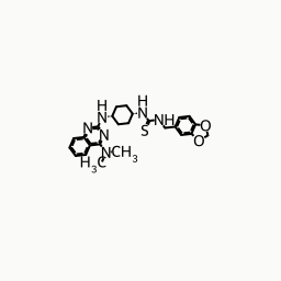 CN(C)c1nc(N[C@H]2CC[C@@H](NC(=S)NCc3ccc4c(c3)OCO4)CC2)nc2ccccc12